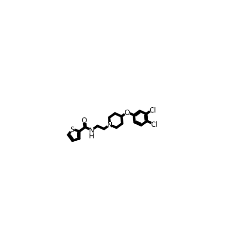 O=C(NCCN1CCC(Oc2ccc(Cl)c(Cl)c2)CC1)c1cccs1